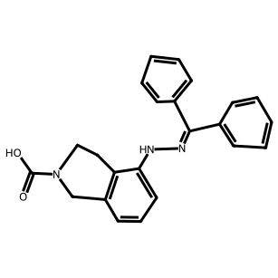 O=C(O)N1CCc2c(cccc2NN=C(c2ccccc2)c2ccccc2)C1